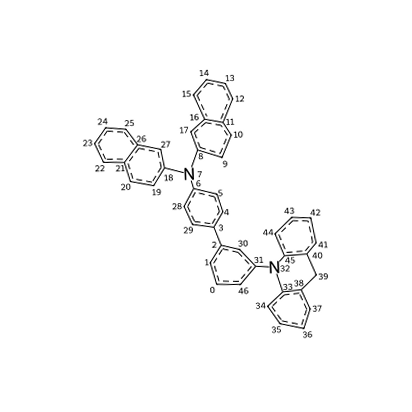 c1cc(-c2ccc(N(c3ccc4ccccc4c3)c3ccc4ccccc4c3)cc2)cc(N2c3ccccc3Cc3ccccc32)c1